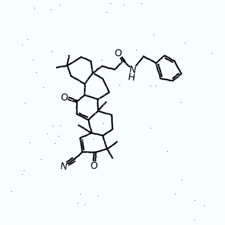 CC1(C)CCC2(CCC(=O)NCc3ccccc3)CCC3C(C(=O)C=C4C5(C)C=C(C#N)C(=O)C(C)(C)C5CCC43C)C2C1